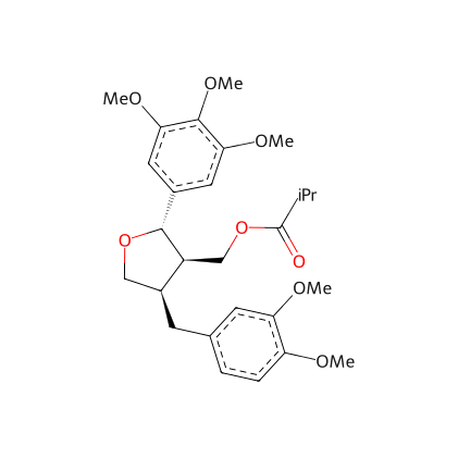 COc1ccc(C[C@H]2CO[C@H](c3cc(OC)c(OC)c(OC)c3)[C@H]2COC(=O)C(C)C)cc1OC